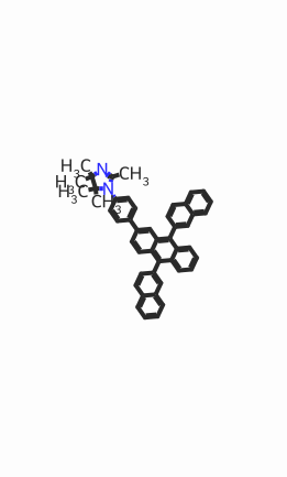 CC1=NC(C)(C)C(C)(C)N1c1ccc(-c2ccc3c(-c4ccc5ccccc5c4)c4ccccc4c(-c4ccc5ccccc5c4)c3c2)cc1